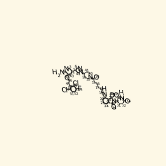 Nc1ncc(-c2cnn(C3CCN(C(=O)CCCCCNc4cccc5c4C(=O)N([C@@H]4CCC(=O)NC4=O)C5=O)CC3)c2)cc1OCCc1c(Cl)ccc(F)c1Cl